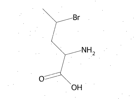 CC(Br)CC(N)C(=O)O